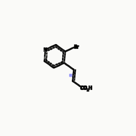 O=C(O)/C=C/c1ccncc1Br